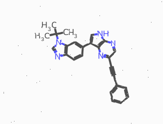 CC(C)(C)n1cnc2ccc(-c3c[nH]c4ncc(C#Cc5ccccc5)nc34)cc21